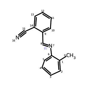 Cc1ccccc1/N=C/c1ccccc1C#N